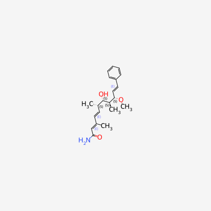 CO[C@@H](/C=C/c1ccccc1)[C@@H](C)[C@@H](O)[C@@H](C)/C=C/C(C)=C/C(N)=O